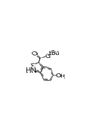 CC(C)(C)OC(=O)c1c[nH]c2ccc(O)cc12